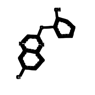 Oc1ccccc1Oc1cnc2cc(Cl)ccc2n1